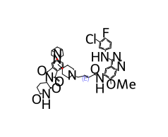 COc1cc2ncnc(Nc3ccc(F)c(Cl)c3)c2cc1NC(=O)/C=C/CN1CCC(CN2CC3CC(C2)N3c2ccc3c(c2)C(=O)N(C2CCC(=O)NC2=O)C3=O)CC1